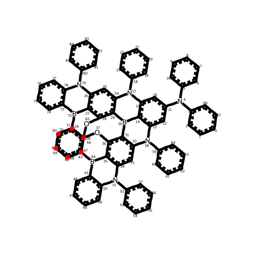 c1ccc(N(c2ccccc2)c2cc3c4c(c2)N(c2ccccc2)c2cc5c6c(c2B4c2c(cc4c7c2Oc2ccccc2B7c2ccccc2N4c2ccccc2)N3c2ccccc2)Oc2ccccc2B6c2ccccc2N5c2ccccc2)cc1